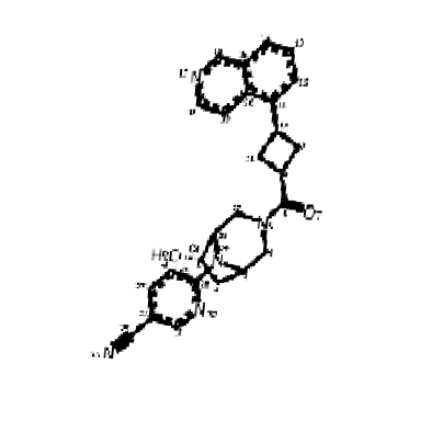 C[C@H]1CC2CN(C(=O)C3CC(c4cccc5cnccc45)C3)CC1N2c1ccc(C#N)cn1